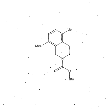 COc1ccc(Br)c2c1CN(C(=O)OC(C)(C)C)CC2